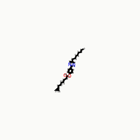 CCCCCCCCc1cnc(-c2ccc(OC(=O)CCCCCCC3CC3)cc2)nc1